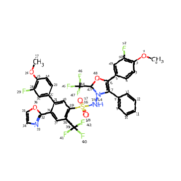 COc1ccc(C2=C(c3ccccc3)N(NS(=O)(=O)c3cc(-c4ccc(OC)c(F)c4)c(-c4ncco4)cc3C(F)(F)F)C(C(F)(F)F)O2)cc1F